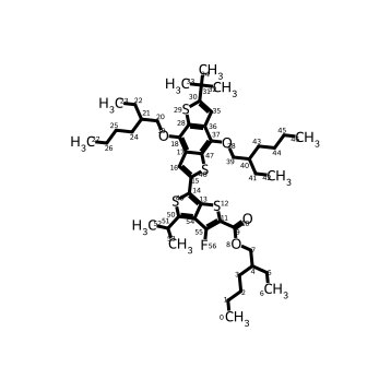 CCCCC(CC)COC(=O)c1sc2c(-c3cc4c(OCC(CC)CCCC)c5sc(C(C)(C)C)cc5c(OCC(CC)CCCC)c4s3)sc(C(C)C)c2c1F